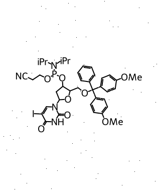 COc1ccc(C(OCC2OC(n3cc(I)c(=O)[nH]c3=O)CC2OP(OCCC#N)N(C(C)C)C(C)C)(c2ccccc2)c2ccc(OC)cc2)cc1